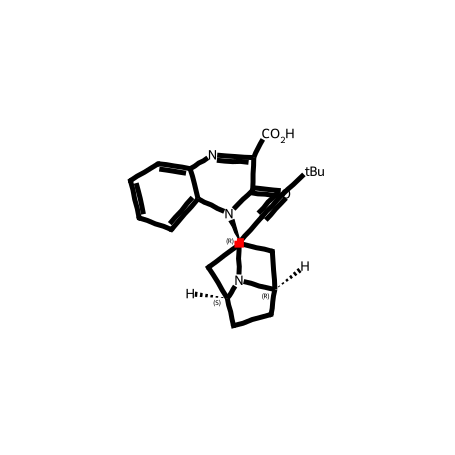 CC(C)(C)C#CCN1[C@@H]2CC[C@H]1C[C@@H](n1c(=O)c(C(=O)O)nc3ccccc31)C2